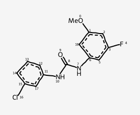 COc1cc(F)cc(NC(=O)Nc2cccc(Cl)c2)c1